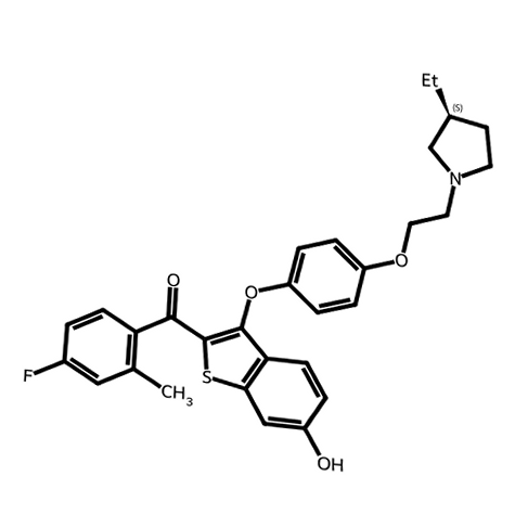 CC[C@H]1CCN(CCOc2ccc(Oc3c(C(=O)c4ccc(F)cc4C)sc4cc(O)ccc34)cc2)C1